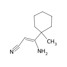 CC1(C(N)=CC#N)CCCCC1